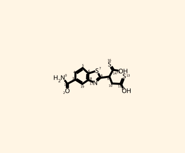 NC(=O)c1ccc2sc(C(CC(O)=S)C(O)=S)nc2c1